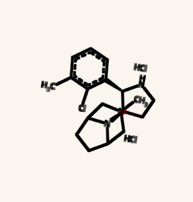 Cc1cccc([C@H]2NCC[C@H]2N2C3CCC2CN(C)C3)c1Cl.Cl.Cl